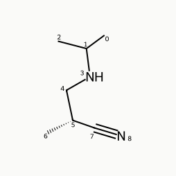 CC(C)NC[C@@H](C)C#N